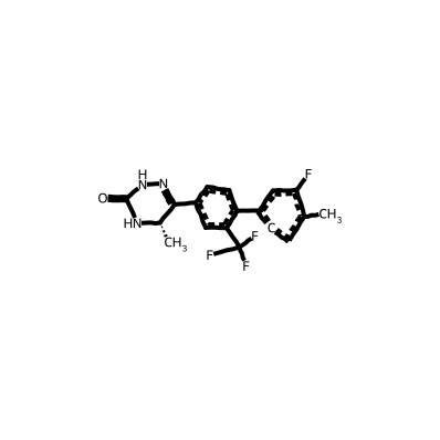 Cc1ccc(-c2ccc(C3=NNC(=O)N[C@H]3C)cc2C(F)(F)F)cc1F